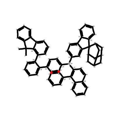 CC1(C)c2ccccc2-c2cccc(-c3ccccc3-c3ccc(N(c4ccc5c(c4)C4(c6ccccc6-5)C5CC6CC(C5)CC4C6)c4ccc5ccccc5c4-c4ccccc4)cc3)c21